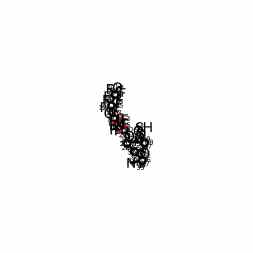 COc1c(F)c(F)c(-c2c(F)c(F)c(Oc3ccc(C(c4ccc(Oc5cccc(-c6ccc(-c7cccc(C)c7C#N)c(C(=O)c7cccc(OOOS)c7)c6)c5C#N)cc4)(C(F)(F)F)C(F)(F)F)cc3)c(F)c2F)c(F)c1F